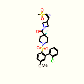 COc1ccc(S(=O)(=O)N2CCC(F)(C(=O)N3CC(/C=C\S(C)(=O)=O)C3)CC2)c(-c2ccccc2Cl)c1